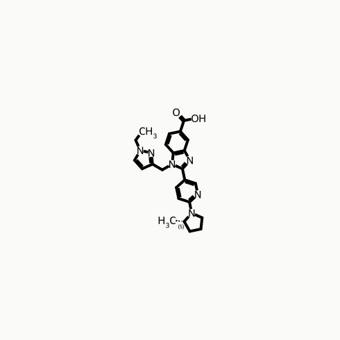 CCn1ccc(Cn2c(-c3ccc(N4CCC[C@@H]4C)nc3)nc3cc(C(=O)O)ccc32)n1